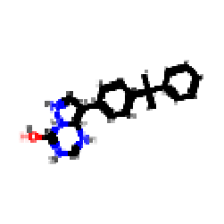 CC(C)(c1ccccc1)c1ccc(-c2cnn3c(O)ncnc23)cc1